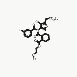 CCOCCOC(=O)C1=C(C(=O)N(C(=O)c2cccc(F)c2)c2c(F)sc(CC(=O)OCC)c2Cl)CCCC1